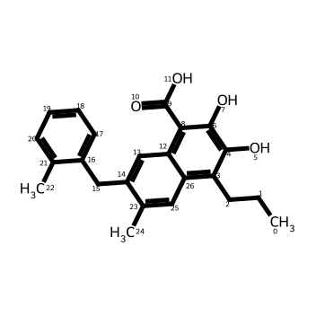 CCCc1c(O)c(O)c(C(=O)O)c2cc(Cc3ccccc3C)c(C)cc12